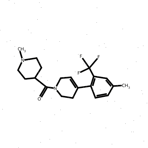 Cc1ccc(C2=CCN(C(=O)C3CCN(C)CC3)CC2)c(C(F)(F)F)c1